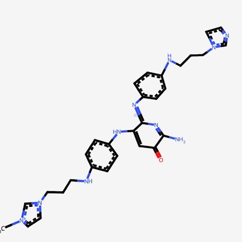 C[n+]1ccn(CCCNc2ccc(NC3=CC(=O)C(N)=N/C3=N\c3ccc(NCCCn4ccnc4)cc3)cc2)c1